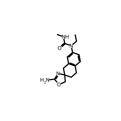 CCN(C(=O)NC)c1ccc2c(c1)CC1(CC2)COC(N)=N1